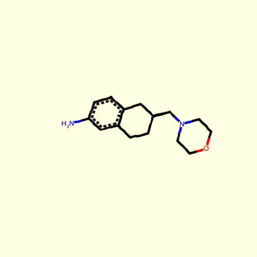 Nc1ccc2c(c1)CCC(CN1CCOCC1)C2